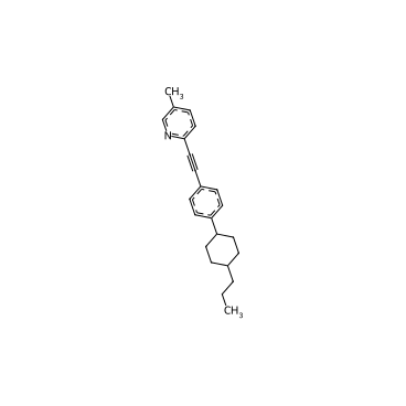 CCCC1CCC(c2ccc(C#Cc3ccc(C)cn3)cc2)CC1